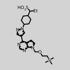 CCC(C1CCC(n2cc(-c3ncnc4c3ccn4COCC[Si](C)(C)C)cn2)CC1)S(=O)(=O)O